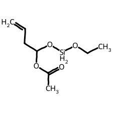 C=CCC(O[SiH2]OCC)OC(C)=O